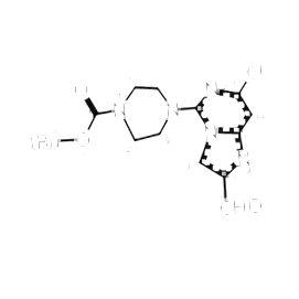 CC(C)(C)OC(=O)N1CCN(c2nc(Cl)cc3nc(C=O)cn23)CC1